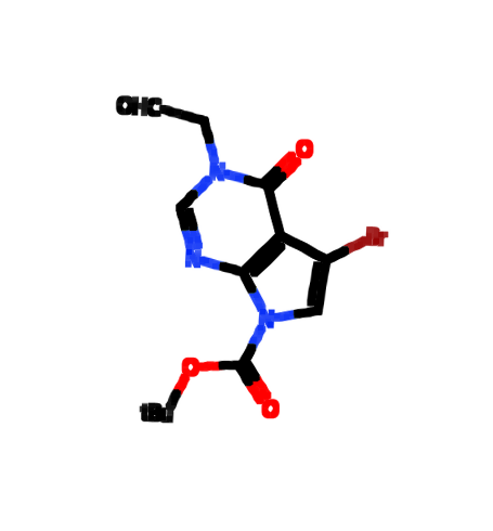 CC(C)(C)OC(=O)n1cc(Br)c2c(=O)n(CC=O)cnc21